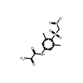 Cc1cc(NC(=O)C(N)=O)cc(C)c1S(=O)(=O)C[N+](=O)[O-]